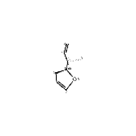 C=C[C@H](C)[C@@H]1CC=CO1